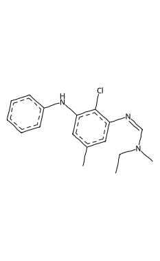 CCN(C)/C=N\c1cc(C)cc(Nc2ccccc2)c1Cl